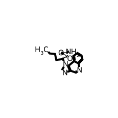 CCCCC(n1cnc2cnc3ccccc3c21)S(N)(=O)=O